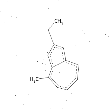 CCc1cc2ccccc(C)c-2c1